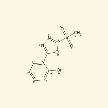 CS(=O)(=O)c1nnc(-c2ccccc2Br)o1